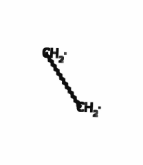 [CH2]C=CCCCCCCCCCCCCCCCCCCCCC[CH2]